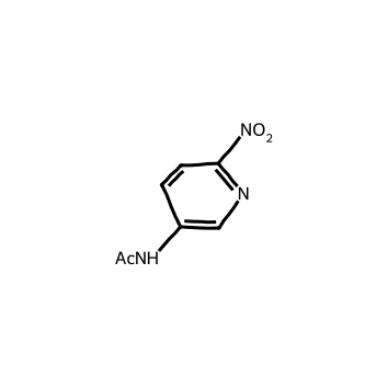 CC(=O)Nc1ccc([N+](=O)[O-])nc1